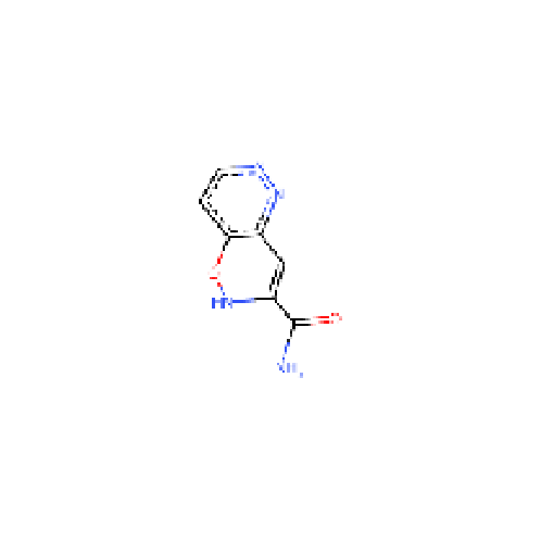 NC(=O)C1=Cc2nnccc2ON1